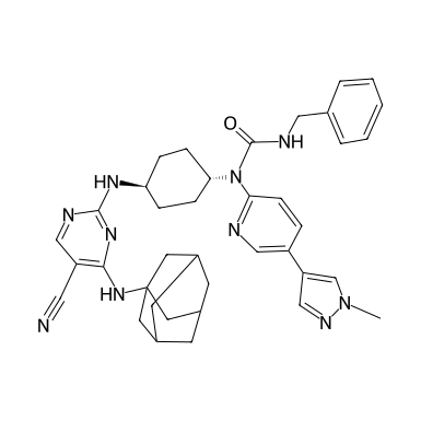 Cn1cc(-c2ccc(N(C(=O)NCc3ccccc3)[C@H]3CC[C@H](Nc4ncc(C#N)c(NC56CC7CC(CC(C7)C5)C6)n4)CC3)nc2)cn1